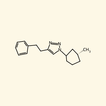 C[C@@H]1CCCC(n2cc(CCc3ccccc3)nn2)C1